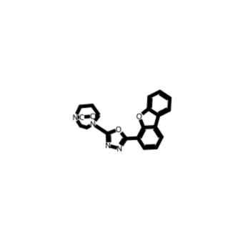 c1ccc2c(c1)oc1c(-c3nnc(N4CCN5CCC4CC5)o3)cccc12